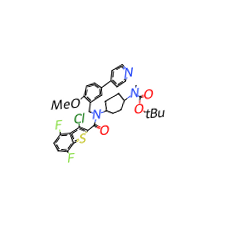 COc1ccc(-c2ccncc2)cc1CN(C(=O)c1sc2c(F)ccc(F)c2c1Cl)C1CCC(N(C)C(=O)OC(C)(C)C)CC1